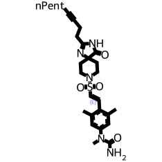 CCCCCC#CCCC1=NC2(CCN(S(=O)(=O)/C=C/c3c(C)cc(N(C)C(N)=O)cc3C)CC2)C(=O)N1